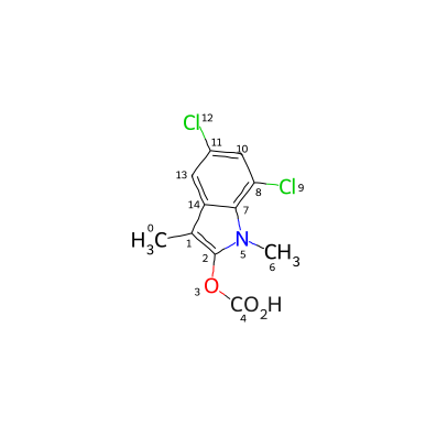 Cc1c(OC(=O)O)n(C)c2c(Cl)cc(Cl)cc12